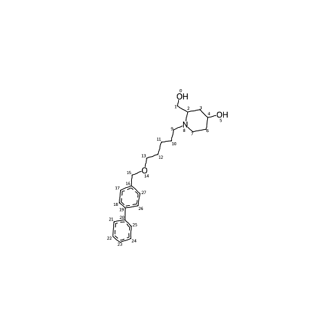 OCC1CC(O)CCN1CCCCCOCc1ccc(-c2ccccc2)cc1